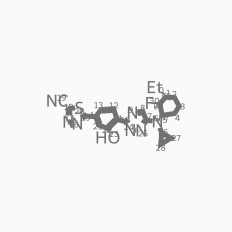 CC[C@@H]1CCC[C@H](N(c2cnc(-c3ccc(-c4nnc(C#N)s4)cc3O)nn2)C2CC2)[C@@H]1F